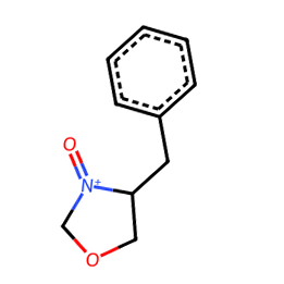 O=[N+]1COCC1Cc1ccccc1